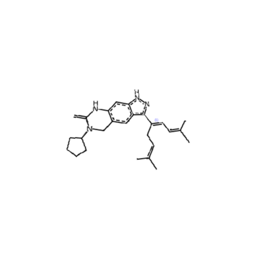 C=C1Nc2cc3[nH]nc(/C(=C/C=C(C)C)CC=C(C)C)c3cc2CN1C1CCCC1